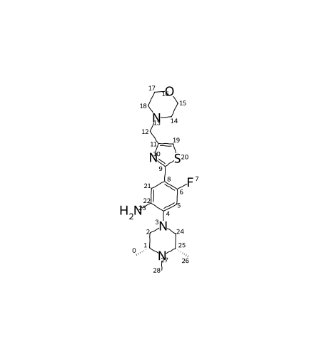 C[C@@H]1CN(c2cc(F)c(-c3nc(CN4CCOCC4)cs3)cc2N)C[C@H](C)N1C